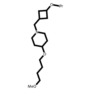 COCCCCOC1CCN(CC2CC(OC(C)C)C2)CC1